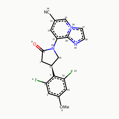 COc1cc(F)c([C@H]2CC(=O)N(c3cc(C#N)cn4ccnc34)C2)c(F)c1